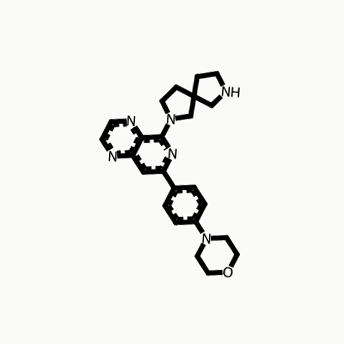 c1cnc2c(N3CCC4(CCNC4)C3)nc(-c3ccc(N4CCOCC4)cc3)cc2n1